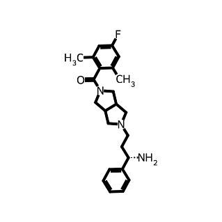 Cc1cc(F)cc(C)c1C(=O)N1CC2CN(CC[C@H](N)c3ccccc3)CC2C1